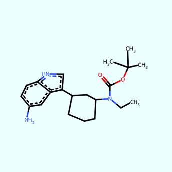 CCN(C(=O)OC(C)(C)C)C1CCCC(c2c[nH]c3ccc(N)cc23)C1